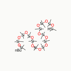 CCCC[Si](C)(C)O[Si](C)(C)O[Si](C)(C)O[Si](C)(C)O[Si](C)(C)O[Si](C)(C)O[Si](C)(C)O[Si](C)(C)O[Si](C)(C)O[Si](C)(C)O[Si](C)(C)O[Si](C)(C)O[SiH](C)C